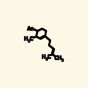 CC(=O)C1CCC(CCC=C(C)C)=CC1C